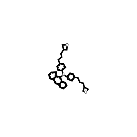 c1ccc2c(N(c3ccc(CCCC4COC4)cc3)c3ccc(CCCC4COC4)cc3)c3ccccc3cc2c1